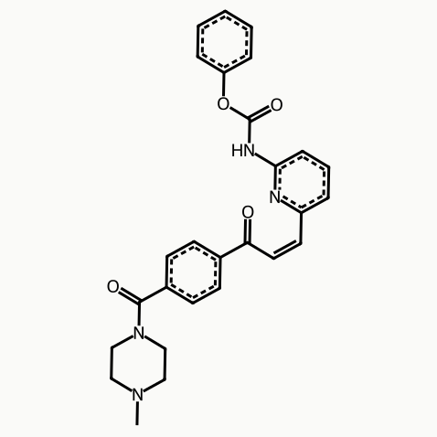 CN1CCN(C(=O)c2ccc(C(=O)/C=C\c3cccc(NC(=O)Oc4ccccc4)n3)cc2)CC1